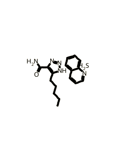 CCCCCc1[nH]nnc1C(N)=O.S.c1ccc2ncccc2c1